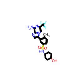 Cc1ccc(S(=O)(=O)N[C@H]2CC[C@H](O)CC2)cc1-c1cnc2c(N)nc(C(F)(F)F)cn12